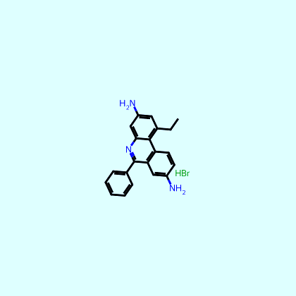 Br.CCc1cc(N)cc2nc(-c3ccccc3)c3cc(N)ccc3c12